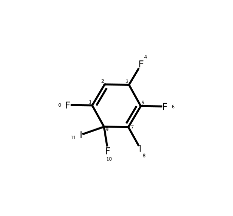 FC1=CC(F)C(F)=C(I)C1(F)I